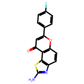 Nc1nc2ccc3oc(-c4ccc(F)cc4)cc(=O)c3c2s1